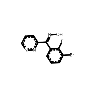 ON=C(c1cccnn1)c1cccc(Br)c1F